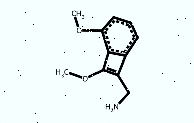 COC1=C(CN)c2cccc(OC)c21